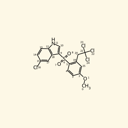 COc1ccc(S(=O)(=O)c2c[nH]c3ccc(Cl)cc23)c([CH]C(Cl)(Cl)Cl)c1